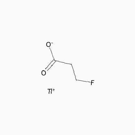 O=C([O-])CCF.[Tl+]